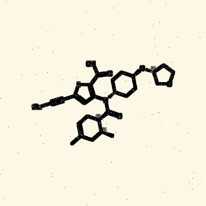 CC1=CC[C@@H](C(=O)N(c2cc(C#CC(C)(C)C)sc2C(=O)N=O)[C@H]2CC[C@H](O[C@@H]3CCOC3)CC2)[C@@H](C)C1